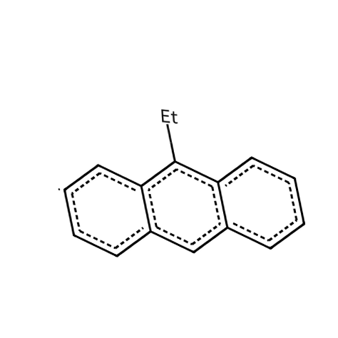 CCc1c2c[c]ccc2cc2ccccc12